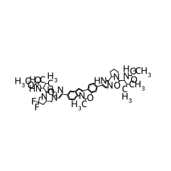 COC(=O)N[C@H](C(=O)N1CCCC1c1ncc(-c2ccc3c(c2)OC(C)n2c-3cc3cc(/C(N)=C/N=C/[C@H]4CC(F)(F)CN4C(=O)[C@@H](NC(=O)OC)C(C)C)ccc32)[nH]1)C(C)C